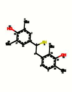 CC(C)(C)c1cc(C(S)[CH]c2ccc(C(C)(C)C)c(O)c2C(C)(C)C)cc(C(C)(C)C)c1O